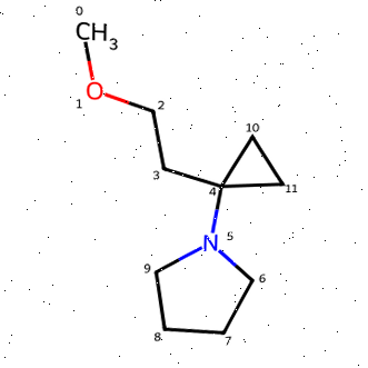 COCCC1(N2CCCC2)CC1